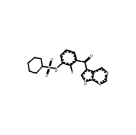 O=C(c1cccc(NS(=O)(=O)C2CCCCC2)c1F)c1c[nH]c2ncncc12